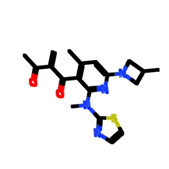 C=C(C(C)=O)C(=O)c1c(C)cc(N2CC(C)C2)nc1N(C)c1nccs1